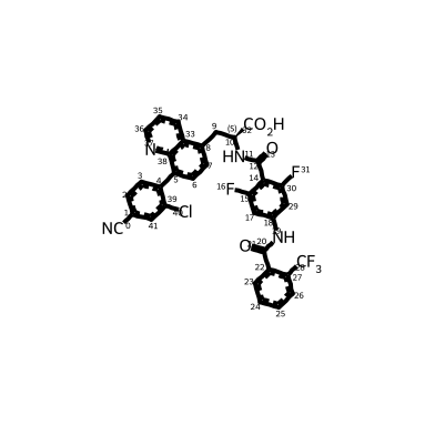 N#Cc1ccc(-c2ccc(C[C@H](NC(=O)c3c(F)cc(NC(=O)c4ccccc4C(F)(F)F)cc3F)C(=O)O)c3cccnc23)c(Cl)c1